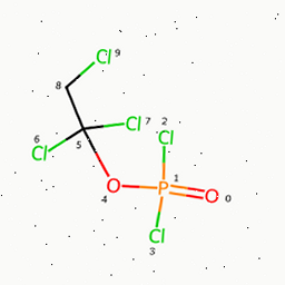 O=P(Cl)(Cl)OC(Cl)(Cl)CCl